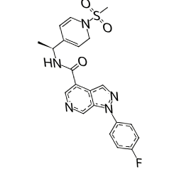 C[C@H](NC(=O)c1cncc2c1cnn2-c1ccc(F)cc1)C1=CCN(S(C)(=O)=O)C=C1